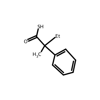 CCC(C)(C(=O)S)c1ccccc1